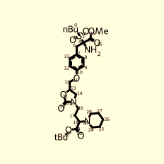 CCCCS(=O)(=O)C(N)(Cc1ccc(OCC2CN(CCC(C(=O)OC(C)(C)C)N3CCCCC3)C(=O)O2)cc1)C(=O)OC